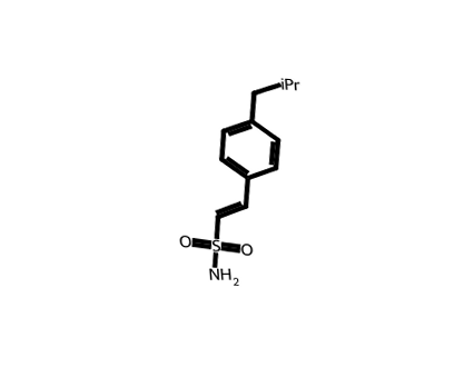 CC(C)Cc1ccc(/C=C/S(N)(=O)=O)cc1